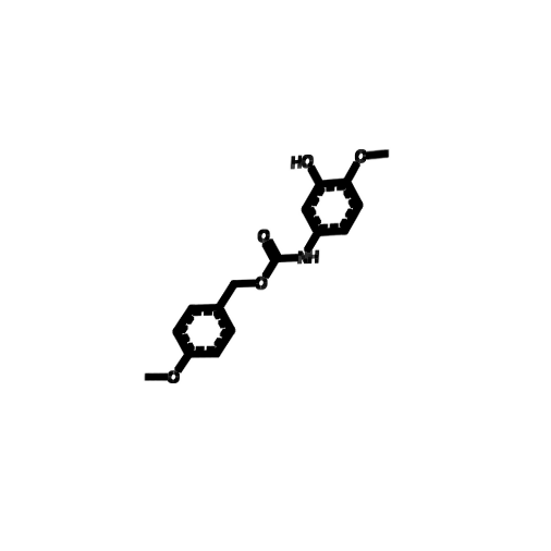 COc1ccc(COC(=O)Nc2ccc(OC)c(O)c2)cc1